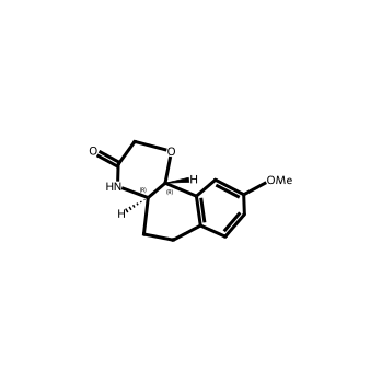 COc1ccc2c(c1)[C@H]1OCC(=O)N[C@@H]1CC2